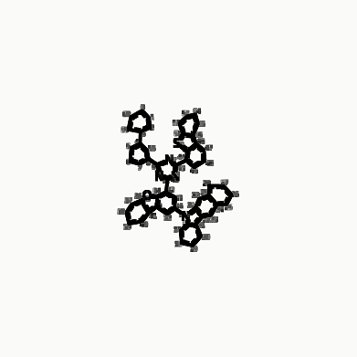 c1ccc(-c2cccc(-c3nc(-c4cc(-n5c6ccccc6c6cc7ccccc7cc65)cc5c4oc4ccccc45)nc(-c4cccc5c4sc4ccccc45)n3)c2)cc1